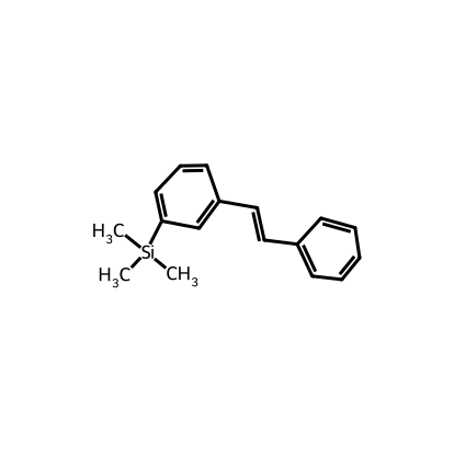 C[Si](C)(C)c1cccc(C=Cc2ccccc2)c1